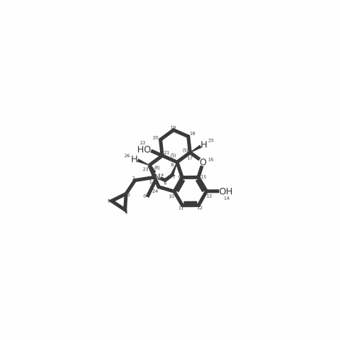 C[N+]1(CC2CC2)CC[C@]23c4c5ccc(O)c4O[C@H]2CCCC3(O)[C@H]1C5